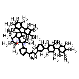 B=C1/C(=C(B)\C(=C(\B)C)c2cccc(-c3ncnc4c3sc3ccc(-c5c(B)c(B)c(-c6c(B)c(B)c(B)c(B)c6B)c(B)c5B)cc34)c2)C(/C(B)=C(/B)C(B)=C)=C(B)C12c1c(B)c(B)c(B)c(B)c1-c1c(B)c(B)c(B)c(B)c12